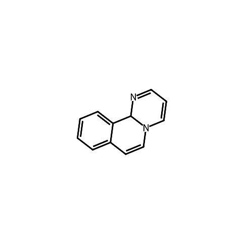 C1=CN2C=Cc3ccccc3C2N=C1